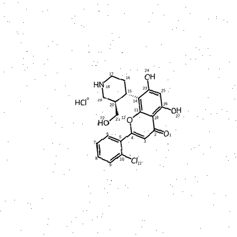 Cl.O=c1cc(-c2ccccc2Cl)oc2c([C@H]3CCNC[C@@H]3CO)c(O)cc(O)c12